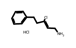 Cl.NCC=C(Cl)CCc1ccccc1